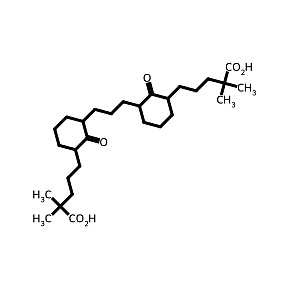 CC(C)(CCCC1CCCC(CCCC2CCCC(CCCC(C)(C)C(=O)O)C2=O)C1=O)C(=O)O